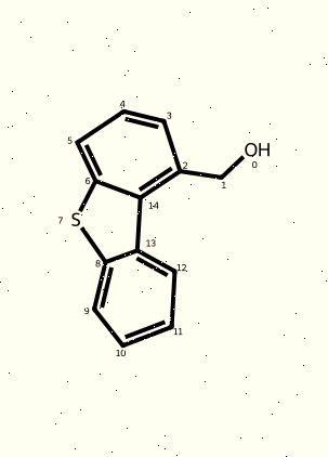 OCc1cccc2sc3ccccc3c12